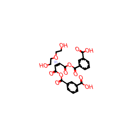 O=C(/C=C\C(=O)OC(=O)c1cccc(C(=O)O)c1)OC(=O)c1cccc(C(=O)O)c1.OCCOCCO